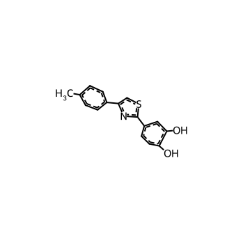 Cc1ccc(-c2csc(-c3ccc(O)c(O)c3)n2)cc1